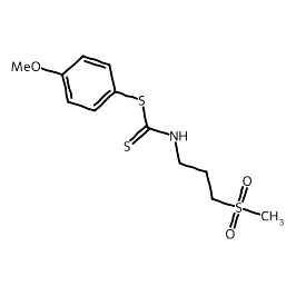 COc1ccc(SC(=S)NCCCS(C)(=O)=O)cc1